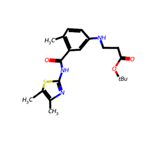 Cc1ccc(NCCC(=O)OC(C)(C)C)cc1C(=O)Nc1nc(C)c(C)s1